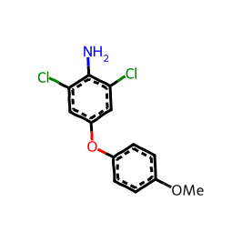 COc1ccc(Oc2cc(Cl)c(N)c(Cl)c2)cc1